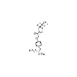 CO[C@@H](Cc1ccc(OCC(=O)NCC(F)(F)C(F)(F)C(F)(F)F)cc1)C(=O)O